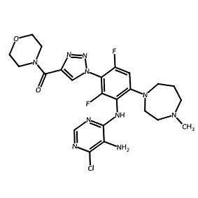 CN1CCCN(c2cc(F)c(-n3cc(C(=O)N4CCOCC4)nn3)c(F)c2Nc2ncnc(Cl)c2N)CC1